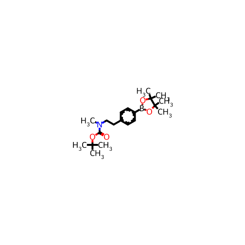 CN(CCc1ccc(B2OC(C)(C)C(C)(C)O2)cc1)C(=O)OC(C)(C)C